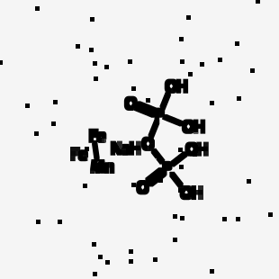 O=P(O)(O)OP(=O)(O)O.[Fe].[Mn][Fe].[NaH]